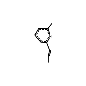 CC=Cc1cncc(C)n1